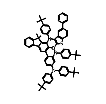 CC(C)(C)c1ccc(N2B3c4sc5ccc(-c6ccccc6)cc5c4N(c4ccc(C(C)(C)C)cc4)c4c3c(cc3c4C(C)(C)c4ccccc4-3)-c3ccc(N(c4ccc(C(C)(C)C)cc4)c4ccc(C(C)(C)C)cc4)cc32)cc1